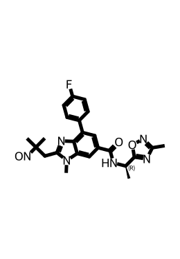 Cc1noc([C@@H](C)NC(=O)c2cc(-c3ccc(F)cc3)c3nc(CC(C)(C)N=O)n(C)c3c2)n1